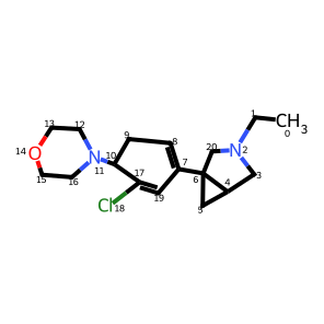 CCN1CC2CC2(C2=CCC(N3CCOCC3)C(Cl)=C2)C1